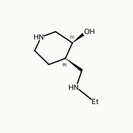 CCNC[C@H]1CCNC[C@H]1O